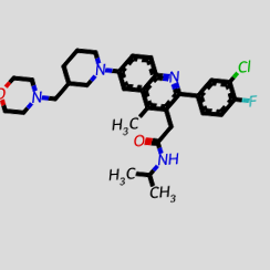 Cc1c(CC(=O)NC(C)C)c(-c2ccc(F)c(Cl)c2)nc2ccc(N3CCCC(CN4CCOCC4)C3)cc12